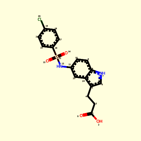 O=C(O)CCc1c[nH]c2ccc(NS(=O)(=O)c3ccc(Cl)cc3)cc12